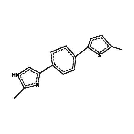 Cc1nc(-c2ccc(-c3ccc(C)s3)cc2)c[nH]1